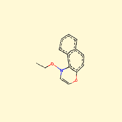 CCON1C=COc2ccc3ccccc3c21